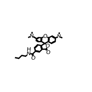 CCCCNC(=O)c1ccc2c(c1)C(=O)OC21c2ccc(N(C)C)cc2Oc2cc(N(C)C)ccc21